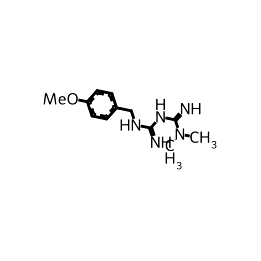 COc1ccc(CNC(=N)NC(=N)N(C)C)cc1